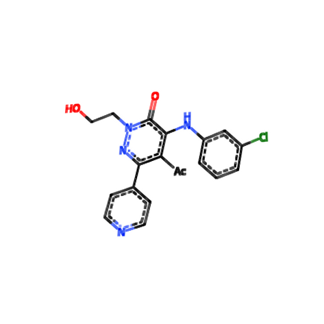 CC(=O)c1c(-c2ccncc2)nn(CCO)c(=O)c1Nc1cccc(Cl)c1